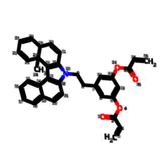 C=CC(=O)Oc1cc(CCn2c3c(c4c5ccccc5ccc42)C2(C)C=CC=CC2C=C3)cc(OC(=O)C=C)c1